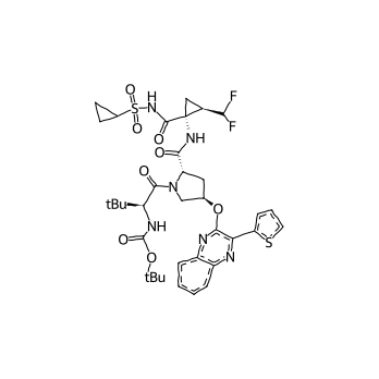 CC(C)(C)OC(=O)N[C@H](C(=O)N1C[C@H](Oc2nc3ccccc3nc2-c2cccs2)C[C@H]1C(=O)N[C@]1(C(=O)NS(=O)(=O)C2CC2)C[C@H]1C(F)F)C(C)(C)C